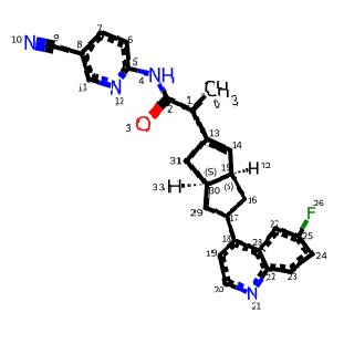 CC(C(=O)Nc1ccc(C#N)cn1)C1=C[C@H]2CC(c3ccnc4ccc(F)cc34)C[C@H]2C1